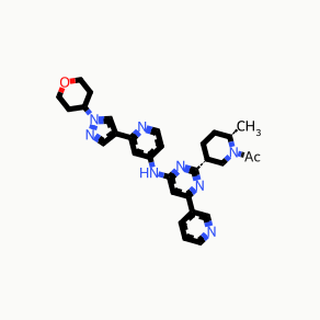 CC(=O)N1C[C@H](c2nc(Nc3ccnc(-c4cnn(C5CCOCC5)c4)c3)cc(-c3cccnc3)n2)CC[C@@H]1C